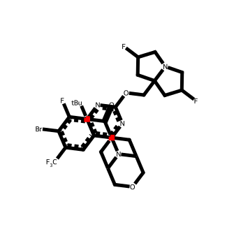 CC(C)(C)OC(=O)N1CC2COCC(C1)N2c1nc(OCC23CC(F)CN2CC(F)C3)nc2c(F)c(Br)c(C(F)(F)F)cc12